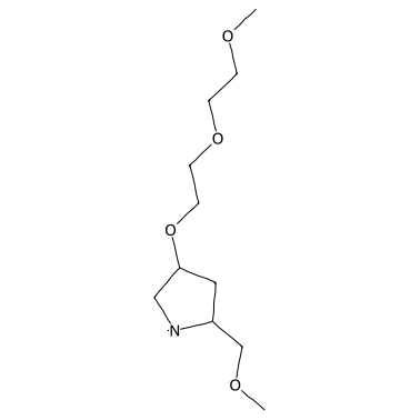 COCCOCCOC1C[N]C(COC)C1